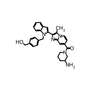 Cc1c(-c2cc3ccccc3n2Cc2ccc(CO)cc2)nc2cc(C(=O)N3CCCC(N)C3)ccn12